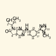 CCC(CC)N1C(=O)Cc2cnc(Nc3cccc(-c4nncn4C)c3)nc21